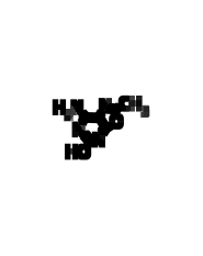 Cc1nc2c(N)nc(O)nc2o1